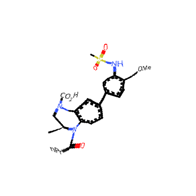 CCCC(=O)N1c2ccc(-c3ccc(OC)c(NS(C)(=O)=O)c3)cc2N(C(=O)O)C[C@@H]1C